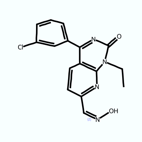 CCn1c(=O)nc(-c2cccc(Cl)c2)c2ccc(/C=N\O)nc21